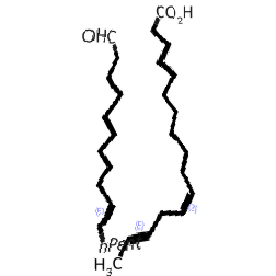 C/C=C/C/C=C\CCCCCCCCCC(=O)O.CCCCC/C=C/CCCCCCCCC=O